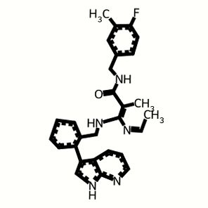 C/C=N\C(NCc1ccccc1-c1c[nH]c2ncccc12)=C(/C)C(=O)NCc1ccc(F)c(C)c1